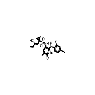 Cc1cc(NS(=O)(=O)C2(C[C@H](O)CI)CC2)c(Nc2ccc(I)cc2F)n(C)c1=O